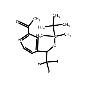 CC(=O)c1cc(C(O[Si](C)(C)C(C)(C)C)C(F)(F)F)ccn1